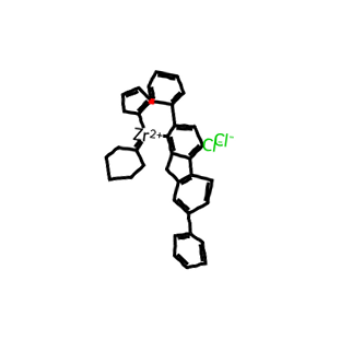 C1=CC[C]([Zr+2](=[C]2CCCCC2)[c]2c(-c3ccccc3)ccc3c2Cc2cc(-c4ccccc4)ccc2-3)=C1.[Cl-].[Cl-]